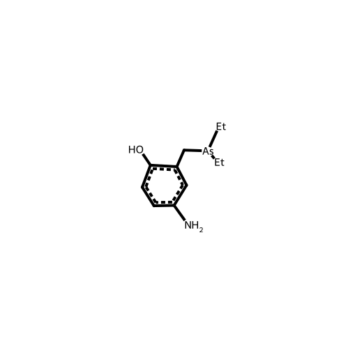 CC[As](CC)Cc1cc(N)ccc1O